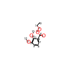 [CH2]COOC(=O)c1cccc(OC)c1OC